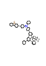 CC1(C)c2ccc(-c3ccc(N(c4ccccc4)c4ccc(-c5ccc6c(c5)sc5ccccc56)cc4)cc3)cc2-c2cc(-c3ccccc3)cc(-c3ccccc3)c21